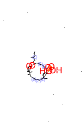 C=C/C=C(\C)CCC1C/C=C/C=C(\C)C(OP(=O)(O)O)CCC\C=C/C=C\C=C\CC(C)C(=C)CC(=O)O1